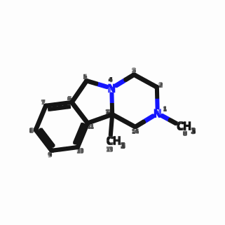 CN1CCN2Cc3ccccc3C2(C)C1